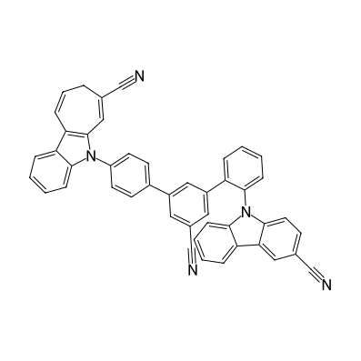 N#CC1=Cc2c(c3ccccc3n2-c2ccc(-c3cc(C#N)cc(-c4ccccc4-n4c5ccccc5c5cc(C#N)ccc54)c3)cc2)C=CC1